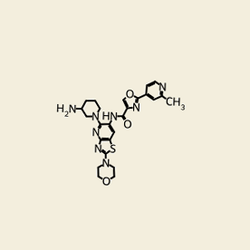 Cc1cc(-c2nc(C(=O)Nc3cc4sc(N5CCOCC5)nc4nc3N3CCCC(N)C3)co2)ccn1